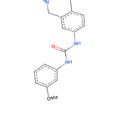 COc1cccc(NC(=O)Nc2ccc3c(c2)CN(C)CC3)c1